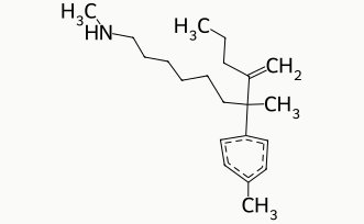 C=C(CCC)C(C)(CCCCCCNC)c1ccc(C)cc1